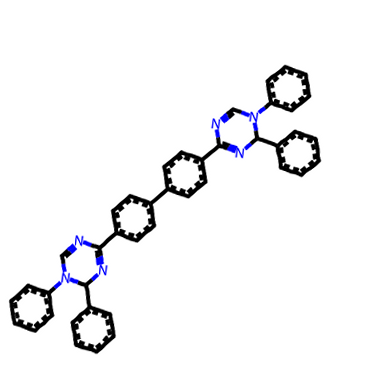 C1=NC(c2ccc(-c3ccc(C4=NC(c5ccccc5)N(c5ccccc5)C=N4)cc3)cc2)=NC(c2ccccc2)N1c1ccccc1